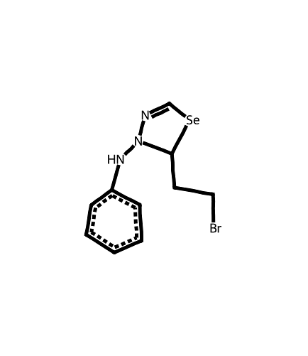 BrCCC1[Se]C=NN1Nc1ccccc1